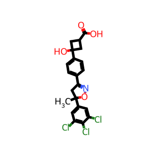 CC1(c2cc(Cl)c(Cl)c(Cl)c2)CC(c2ccc(C3(O)CC(C(=O)O)C3)cc2)=NO1